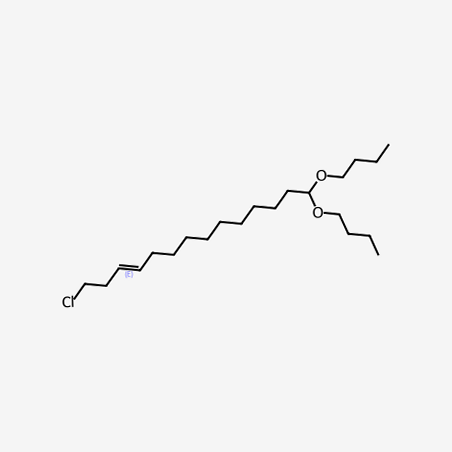 CCCCOC(CCCCCCCCC/C=C/CCCl)OCCCC